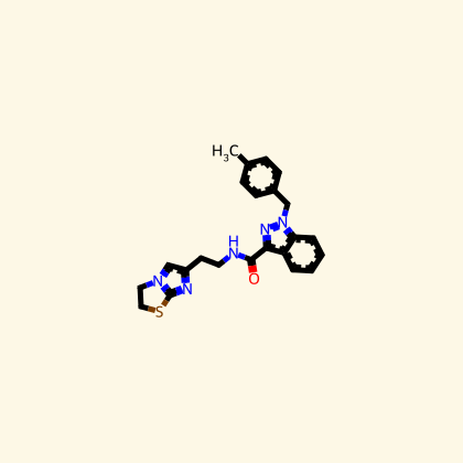 Cc1ccc(Cn2nc(C(=O)NCCc3cn4c(n3)SCC4)c3ccccc32)cc1